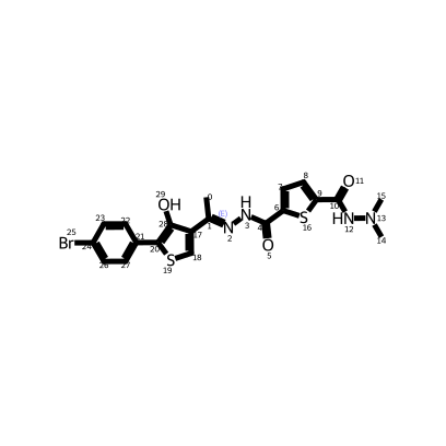 C/C(=N\NC(=O)c1ccc(C(=O)NN(C)C)s1)c1csc(-c2ccc(Br)cc2)c1O